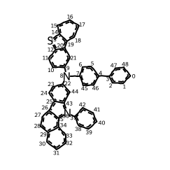 c1ccc(-c2ccc(N(c3ccc4sc5ccccc5c4c3)c3ccc4c5ccc6ccccc6c5n(-c5ccccc5)c4c3)cc2)cc1